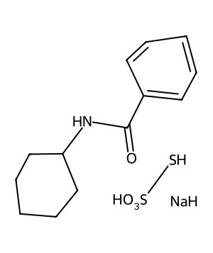 O=C(NC1CCCCC1)c1ccccc1.O=S(=O)(O)S.[NaH]